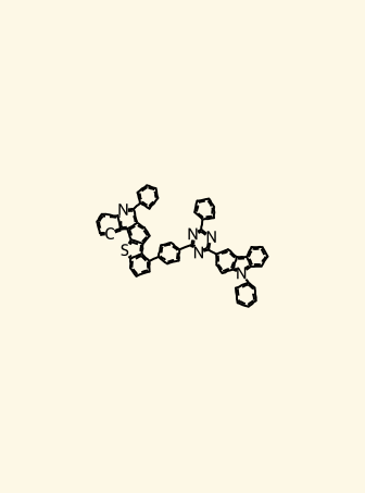 c1ccc(-c2nc(-c3ccc(-c4cccc5sc6c(ccc7c(-c8ccccc8)nc8ccccc8c76)c45)cc3)nc(-c3ccc4c(c3)c3ccccc3n4-c3ccccc3)n2)cc1